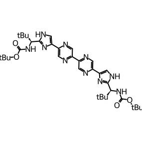 CC(C)(C)OC(=O)N[C@H](c1nc(-c2cnc(-c3cnc(-c4c[nH]c([C@@H](NC(=O)OC(C)(C)C)C(C)(C)C)n4)cn3)cn2)c[nH]1)C(C)(C)C